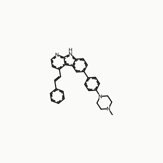 CN1CCN(c2ccc(-c3ccc4[nH]c5nccc(/C=C/c6ccccc6)c5c4c3)cc2)CC1